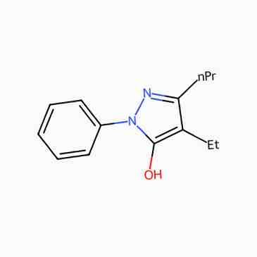 CCCc1nn(-c2ccccc2)c(O)c1CC